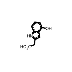 O=C(O)Cc1cc2c(O)cccc2[nH]1